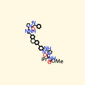 COC(=O)N[C@H](C(=O)N1CCC[C@H]1c1nc2ccc(-c3ccc4c(c3)CCc3cc(-c5cnc(C6CCCN6C(=O)C(c6ccccc6)N(C)C)[nH]5)ccc3-4)cc2[nH]1)C(C)C